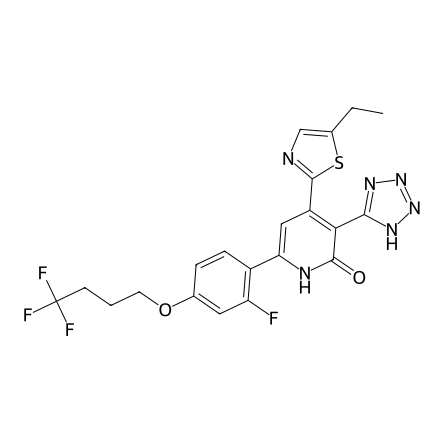 CCc1cnc(-c2cc(-c3ccc(OCCCC(F)(F)F)cc3F)[nH]c(=O)c2-c2nnn[nH]2)s1